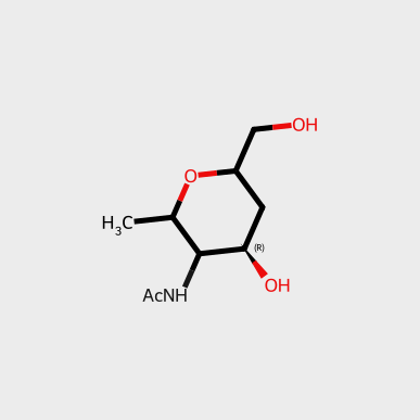 CC(=O)NC1C(C)OC(CO)C[C@H]1O